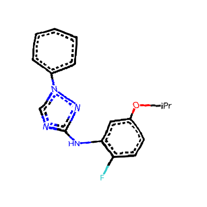 CC(C)Oc1ccc(F)c(Nc2ncn(-c3ccccc3)n2)c1